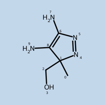 CC1(CO)N=NC(N)=C1N